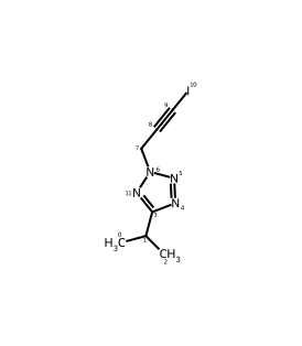 CC(C)c1nnn(CC#CI)n1